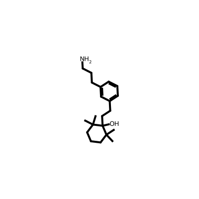 CC1(C)CCCC(C)(C)C1(O)CCc1cccc(CCCN)c1